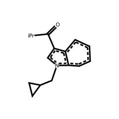 CC(C)C(=O)c1cn(CC2CC2)c2ccccc12